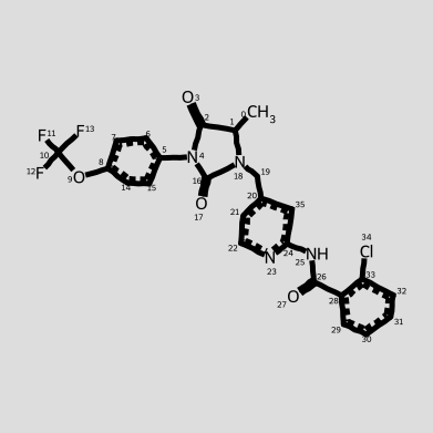 CC1C(=O)N(c2ccc(OC(F)(F)F)cc2)C(=O)N1Cc1ccnc(NC(=O)c2ccccc2Cl)c1